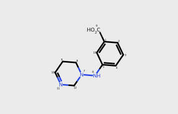 O=C(O)c1cccc(NN2CCC=NC2)c1